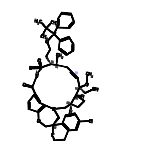 CO[C@]1(CO)/C=C/C[C@H](C)[C@@H](CCO[Si](c2ccccc2)(c2ccccc2)C(C)(C)C)S(=O)(=O)NC(=O)c2ccc3c(c2)N(C[C@@H]2CC[C@H]21)C[C@@]1(CCCc2cc(Cl)ccc21)CO3